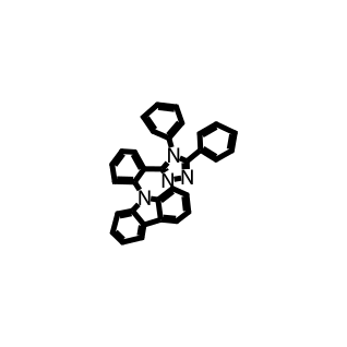 c1ccc(-c2nnc(-c3ccccc3-n3c4ccccc4c4ccccc43)n2-c2ccccc2)cc1